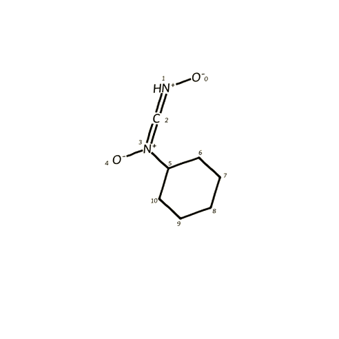 [O-][NH+]=C=[N+]([O-])C1CCCCC1